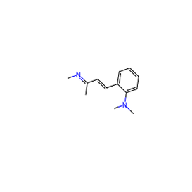 C/N=C(C)/C=C/c1ccccc1N(C)C